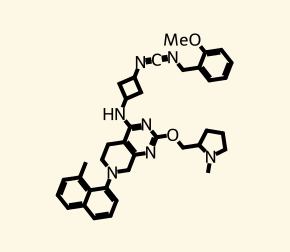 COc1ccccc1CN=C=NC1CC(Nc2nc(OCC3CCCN3C)nc3c2CCN(c2cccc4cccc(C)c24)C3)C1